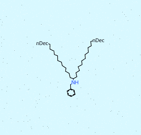 CCCCCCCCCCCCCCCCCCCCCCC(CCCCCCCCCCCCCCCCCCCCCC)NCc1ccccc1